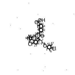 Cc1cc(OCCCc2c3n(c4c(-c5c(C)nn(C)c5C)c(Cl)ccc24)C(C)CN(c2ccc4ccc(C(=O)O)nc4c2)C3=O)cc(C)c1Cl